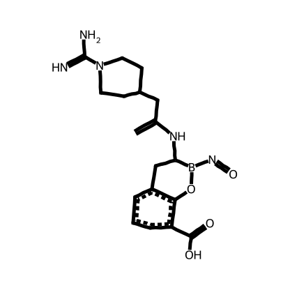 C=C(CC1CCN(C(=N)N)CC1)NC1Cc2cccc(C(=O)O)c2OB1N=O